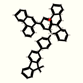 CC1(C)c2ccccc2-c2ccc(-c3ccc(N(c4cccc(-c5cc6ccccc6c6ccccc56)c4)c4ccccc4-c4ccc5ccccc5c4)cc3)cc21